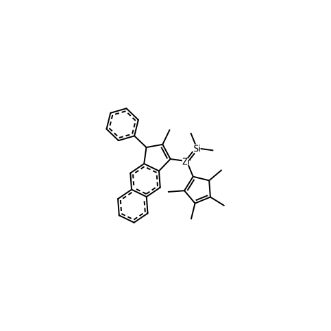 CC1=C(C)C(C)[C]([Zr]([C]2=C(C)C(c3ccccc3)c3cc4ccccc4cc32)=[Si](C)C)=C1C